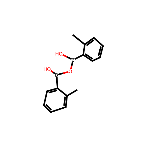 Cc1ccccc1B(O)OB(O)c1ccccc1C